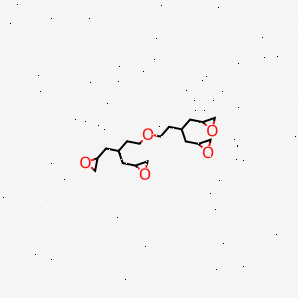 C(CC(CC1CO1)CC1CO1)OCCC(CC1CO1)CC1CO1